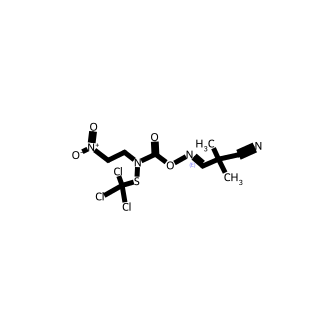 CC(C)(C#N)/C=N/OC(=O)N(CC[N+](=O)[O-])SC(Cl)(Cl)Cl